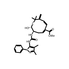 C=C1/C=C\C(C(=O)OC)=C/C[C@@H](NC(=O)Nc2c(C)c(C)nn2-c2ccccc2)[C@H](O)CC1(C)C